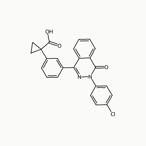 O=C(O)C1(c2cccc(-c3nn(-c4ccc(Cl)cc4)c(=O)c4ccccc34)c2)CC1